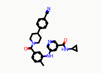 Cc1ccc(C(=O)N2CCC(c3ccc(C#N)cc3)CC2)cc1Nc1cncc(C(=O)NC2CC2)c1